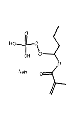 C=C(C)C(=O)OC(CCC)OOP(=O)(O)O.[NaH]